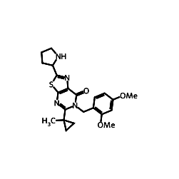 COc1ccc(Cn2c(C3(C)CC3)nc3sc(C4CCCN4)nc3c2=O)c(OC)c1